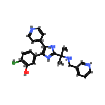 CC(C)(NCc1cccnc1)c1nc(-c2ccc(Cl)c(O)c2)c(-c2ccncc2)[nH]1